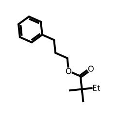 CCC(C)(C)C(=O)OCCCc1ccccc1